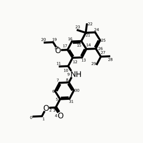 CCOC(=O)c1ccc(NC(C)c2cc3c(cc2OCC)C(C)(C)CC=C3C(C)C)cc1